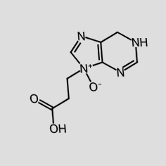 O=C(O)CC[N+]1([O-])C=NC2=C1N=CNC2